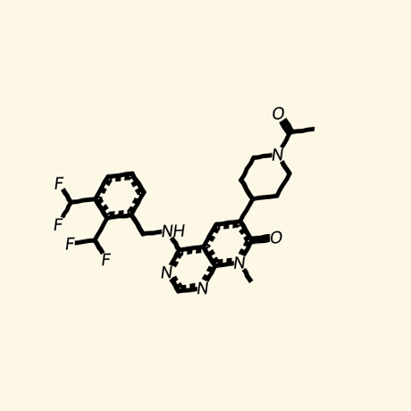 CC(=O)N1CCC(c2cc3c(NCc4cccc(C(F)F)c4C(F)F)ncnc3n(C)c2=O)CC1